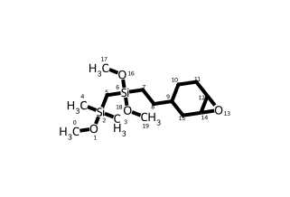 CO[Si](C)(C)C[Si](CCC1CCC2OC2C1)(OC)OC